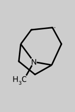 CN1C2C[CH]CC1CC2